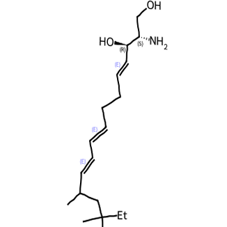 CCC(C)(C)CC(C)/C=C/C=C/CC/C=C/[C@@H](O)[C@@H](N)CO